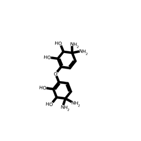 NC1(N)C=CC(OC2=C(O)C(O)C(N)(N)C=C2)=C(O)C1O